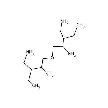 CCC(CN)C(N)COCC(N)C(CC)CN